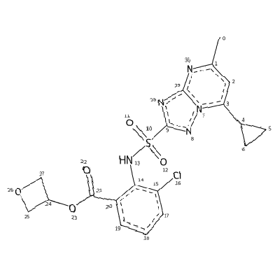 Cc1cc(C2CC2)n2nc(S(=O)(=O)Nc3c(Cl)cccc3C(=O)OC3COC3)nc2n1